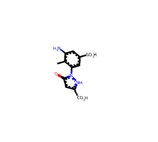 Cc1c(N)cc(S(=O)(=O)O)cc1-n1[nH]c(C(=O)O)cc1=O